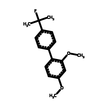 COc1ccc(-c2ccc(C(C)(C)F)cc2)c(OC)c1